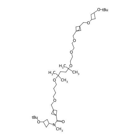 CN(C(=O)C12CC(COCCCCOC(C)(C)CCC(C)(C)OCCOCCOCC34CC(COC5CC(OC(C)(C)C)C5)(C3)C4)(C1)C2)C1CC(OC(C)(C)C)C1